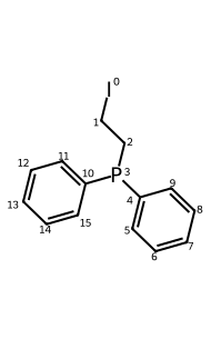 ICCP(c1ccccc1)c1ccccc1